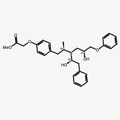 COC(=O)COc1ccc(C[C@@H](C)N(C[C@H](O)COc2ccccc2)[C@H](O)Cc2ccccc2)cc1